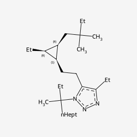 CCCCCCCC(C)(CC)n1nnc(CC)c1CC[C@H]1[C@@H](CC)[C@H]1CC(C)(C)CC